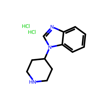 Cl.Cl.c1ccc2c(c1)ncn2C1CCNCC1